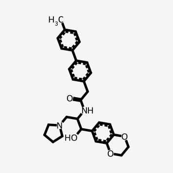 Cc1ccc(-c2ccc(CC(=O)NC(CN3CCCC3)C(O)c3ccc4c(c3)OCCO4)cc2)cc1